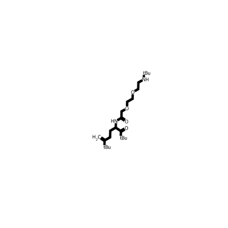 C=C(CCC(NC(=O)COCCOCCNC(C)(C)C)C(=O)C(C)(C)C)C(C)(C)C